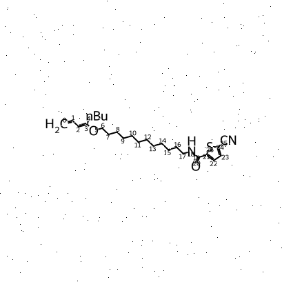 C=C/C=C(\CCCC)OCCCCCCCCCCCCNC(=O)c1ccc(C#N)s1